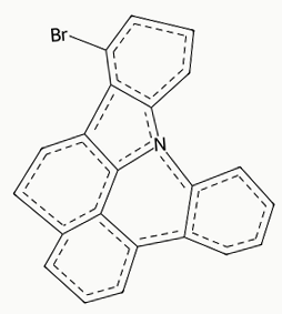 Brc1cccc2c1c1ccc3cccc4c5ccccc5n2c1c34